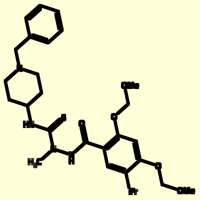 COCOc1cc(OCOC)c(C(C)C)cc1C(=O)NN(C)C(=S)NC1CCN(Cc2ccccc2)CC1